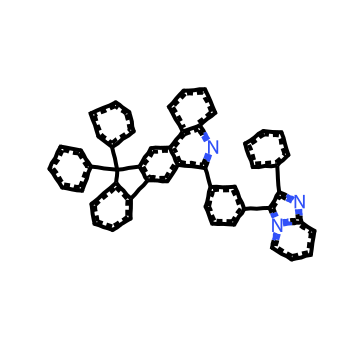 c1ccc(-c2nc3ccccn3c2-c2cccc(-c3nc4ccccc4c4cc5c(cc34)-c3ccccc3C5(c3ccccc3)c3ccccc3)c2)cc1